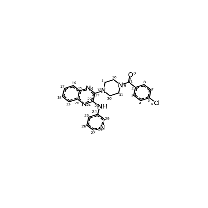 O=C(c1ccc(Cl)cc1)N1CCN(c2nc3ccccc3nc2Nc2cccnc2)CC1